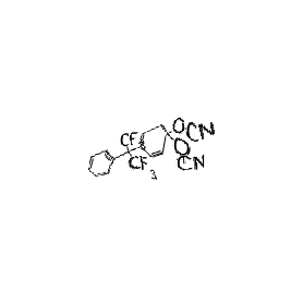 N#COC1(OC#N)C=CC(C(c2ccccc2)(C(F)(F)F)C(F)(F)F)=CC1